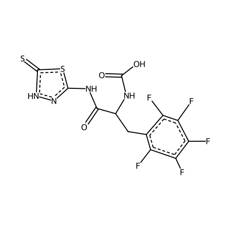 O=C(O)NC(Cc1c(F)c(F)c(F)c(F)c1F)C(=O)Nc1n[nH]c(=S)s1